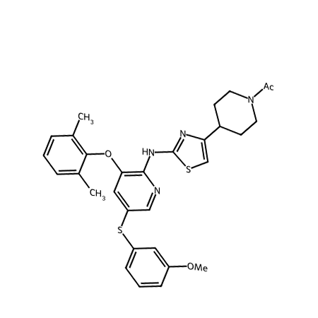 COc1cccc(Sc2cnc(Nc3nc(C4CCN(C(C)=O)CC4)cs3)c(Oc3c(C)cccc3C)c2)c1